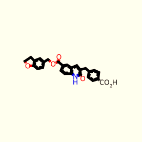 O=C(O)c1ccc(Cc2cc3cc(C(=O)OCc4ccc5c(c4)CCO5)ccc3[nH]c2=O)cc1